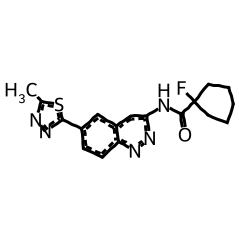 Cc1nnc(-c2ccc3nnc(NC(=O)C4(F)CCCCC4)cc3c2)s1